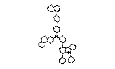 c1ccc(-c2ccc(-c3cccc(N(c4ccc(-c5ccc(-c6cccc7ccccc67)cc5)cc4)c4ccc5c(ccc6ccccc65)c4)c3)c3c4ccccc4n(-c4ccccc4)c23)cc1